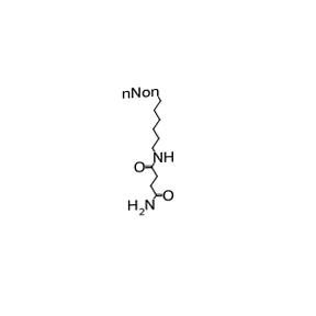 CCCCCCCCCCCCCCCNC(=O)CCC(N)=O